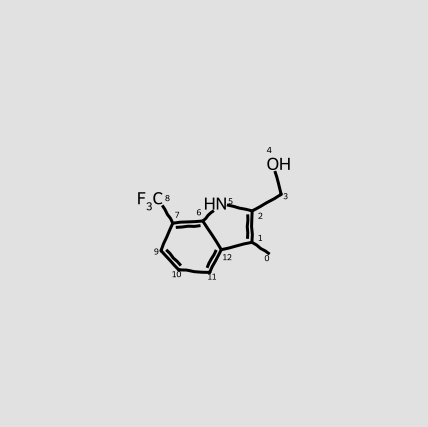 Cc1c(CO)[nH]c2c(C(F)(F)F)cccc12